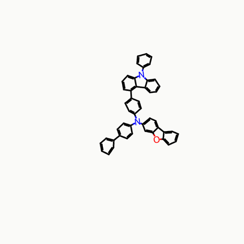 c1ccc(-c2ccc(N(c3ccc(-c4cccc5c4c4ccccc4n5-c4ccccc4)cc3)c3ccc4c(c3)oc3ccccc34)cc2)cc1